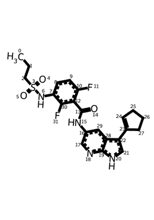 CCCS(=O)(=O)Nc1ccc(F)c(C(=O)Nc2cnc3[nH]cc(C4=CCCC4)c3c2)c1F